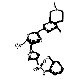 Cc1cc(-c2cnc(N)c(-n3cc(S(=O)(=O)Nc4ccccc4Cl)cn3)n2)cc2c1CCN(C)C2